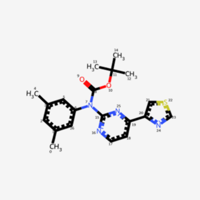 Cc1cc(C)cc(N(C(=O)OC(C)(C)C)c2nccc(-c3cscn3)n2)c1